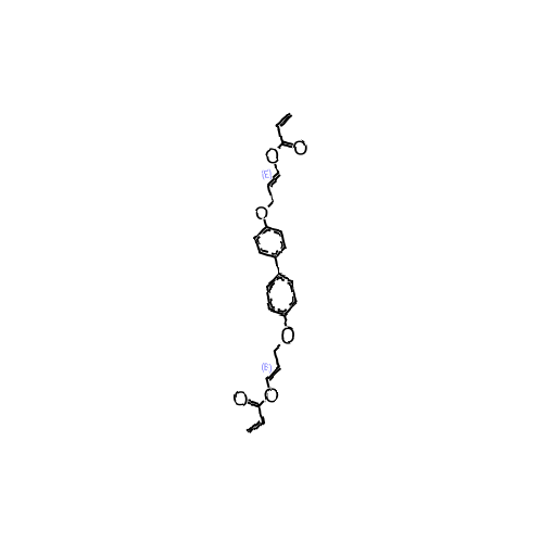 C=CC(=O)O/C=C/COc1ccc(-c2ccc(OC/C=C/OC(=O)C=C)cc2)cc1